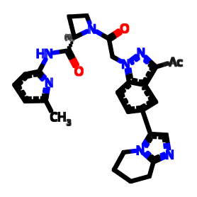 CC(=O)c1nn(CC(=O)N2CC[C@H]2C(=O)Nc2cccc(C)n2)c2ccc(-c3cnc4n3CCCC4)cc12